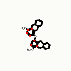 COc1nnc(Oc2ccc(C)c3c2C2c4ccccc4C3c3ccccc32)c2c1C1c3ccccc3C2c2ccccc21